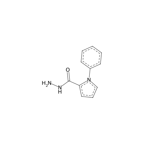 NNC(=O)c1cccn1-c1ccccc1